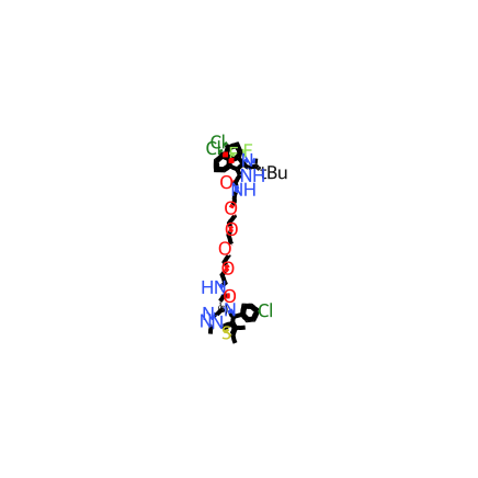 C=NC1(c2ccc(Cl)cc2F)C(CC(C)(C)C)NC(C(=O)NCCOCCOCCOCCOCCNC(=O)C[C@@H]2N=C(c3ccc(Cl)cc3)c3c(sc(C)c3C)-n3c(C)nnc32)C1c1cccc(Cl)c1F